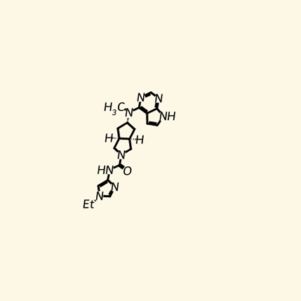 CCn1cnc(NC(=O)N2C[C@H]3C[C@H](N(C)c4ncnc5[nH]ccc45)C[C@H]3C2)c1